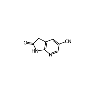 N#Cc1cnc2c(c1)CC(=O)N2